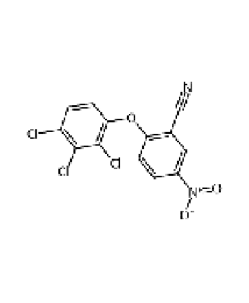 N#Cc1cc([N+](=O)[O-])ccc1Oc1ccc(Cl)c(Cl)c1Cl